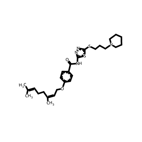 CC(C)=CCCC(C)=CCOc1ccc(C(=O)Nc2nnc(SCCCN3CCCCC3)s2)cc1